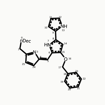 CCCCCCCCCCCC1=N/C(=C\c2[nH]c(-c3ccc[nH]3)cc2OCc2ccccc2)C=C1